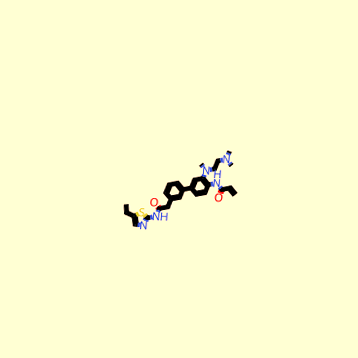 C=CC(=O)Nc1ccc(-c2cccc(CC(=O)Nc3ncc(CC)s3)c2)cc1N(C)CCN(C)C